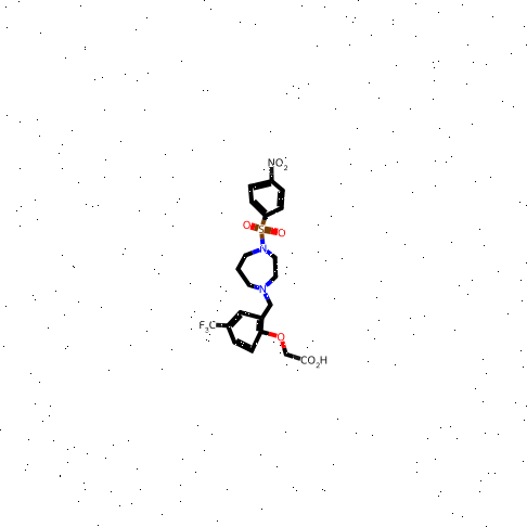 O=C(O)COc1ccc(C(F)(F)F)cc1CN1CCCN(S(=O)(=O)c2ccc([N+](=O)[O-])cc2)CC1